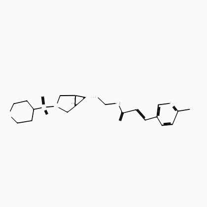 Nc1ccc(/C=C/C(=O)NCC[C@@H]2[C@H]3CN(S(=O)(=O)C4CCOCC4)C[C@@H]23)cn1